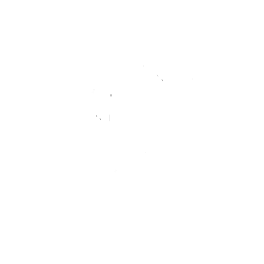 CN(C)C1CC2CC(Cc3ccccc3)CC2C1C=O.O=C(O)c1ccc[nH]1